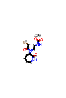 CC(C)(C)OC(=O)NCCN(C(=O)CBr)C1CCCCNC1=O